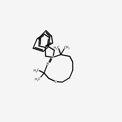 CC1(C)CCCCCCCC(C)(C)P(Cc2ccccc2)(Cc2ccccc2)=N1